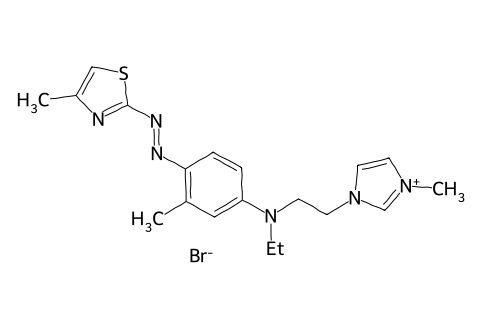 CCN(CCn1cc[n+](C)c1)c1ccc(N=Nc2nc(C)cs2)c(C)c1.[Br-]